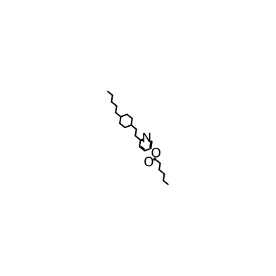 CCCCCC(=O)Oc1ccc(CCC2CCC(CCCCC)CC2)nc1